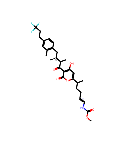 COC(=O)N/C=C/CCC(C)c1cc(O)c(C(=O)C(C)[C@@H](C)Cc2ccc(CCC(F)(F)F)cc2C)c(=O)o1